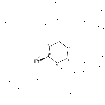 CC(C)[C@H]1[CH]CCCC1